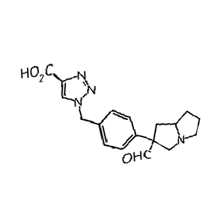 O=CC1(c2ccc(Cn3cc(C(=O)O)nn3)cc2)CC2CCCN2C1